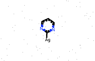 [Ag][c]1ncccn1